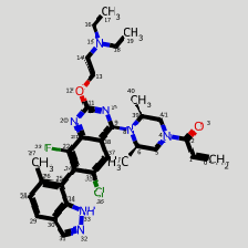 C=CC(=O)N1C[C@@H](C)N(c2nc(OCCN(CC)CC)nc3c(F)c(-c4c(C)ccc5cn[nH]c45)c(Cl)cc23)[C@@H](C)C1